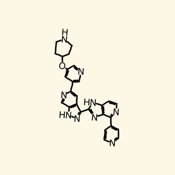 c1cc(-c2nccc3[nH]c(-c4n[nH]c5cnc(-c6cncc(OC7CCNCC7)c6)cc45)nc23)ccn1